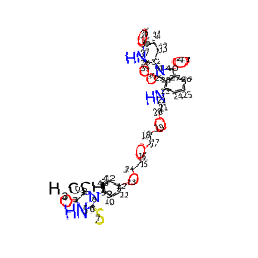 CC1(C)C(=O)NC(=S)N1c1ccc(OCCOCCOCCNc2cccc3c2C(=O)N(C2CCC(=O)NC2=O)C3=O)cc1